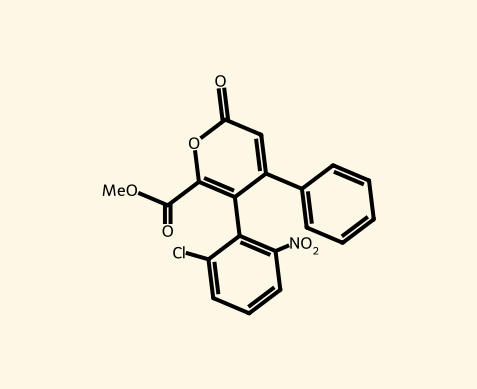 COC(=O)c1oc(=O)cc(-c2ccccc2)c1-c1c(Cl)cccc1[N+](=O)[O-]